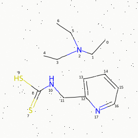 CCN(CC)CC.S=C(S)NCc1ccccn1